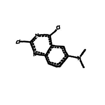 CN(C)c1ccc2nc(Cl)nc(Cl)c2c1